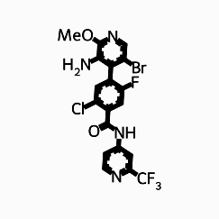 COc1ncc(Br)c(-c2cc(Cl)c(C(=O)Nc3ccnc(C(F)(F)F)c3)cc2F)c1N